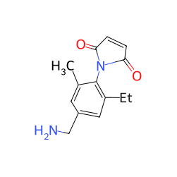 CCc1cc(CN)cc(C)c1N1C(=O)C=CC1=O